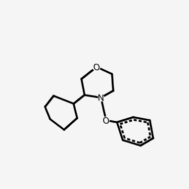 c1ccc(ON2CCOCC2C2CCCCC2)cc1